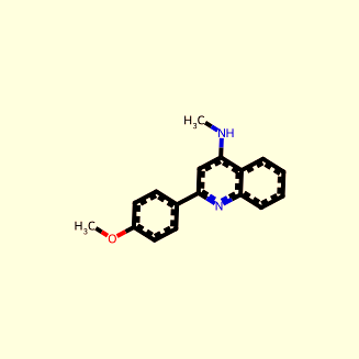 CNc1cc(-c2ccc(OC)cc2)nc2ccccc12